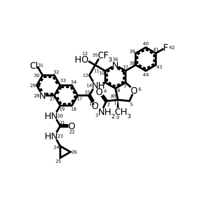 C[C@]1(C(N)=O)COc2c1cc(C(O)(CNC(=O)c1cc(NC(=O)NC3CC3)c3ncc(Cl)cc3c1)C(F)(F)F)nc2-c1ccc(F)cc1